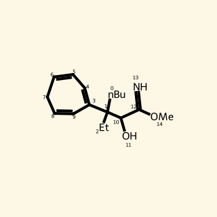 CCCCC(CC)(C1=CC=CCC=C1)C(O)C(=N)OC